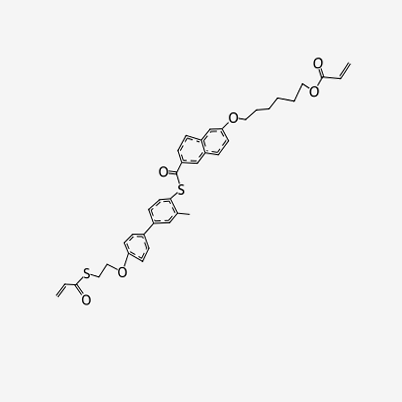 C=CC(=O)OCCCCCCOc1ccc2cc(C(=O)Sc3ccc(-c4ccc(OCCSC(=O)C=C)cc4)cc3C)ccc2c1